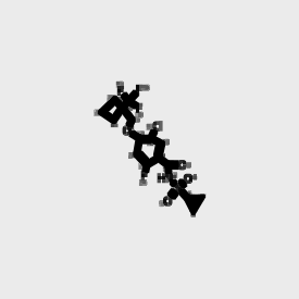 O=C(NS(=O)(=O)C1CC1)c1cc(Cl)c(OCC2(C(F)(F)F)CCC2)cc1F